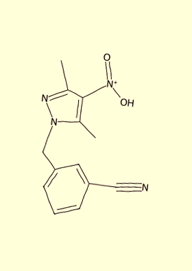 Cc1nn(Cc2cccc(C#N)c2)c(C)c1[N+](=O)O